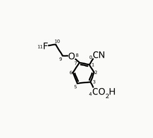 N#Cc1cc(C(=O)O)ccc1OCCF